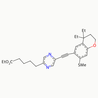 CCOC(=O)CCCCc1cnc(C#Cc2cc3c(cc2SC)OCCC3(CC)CC)cn1